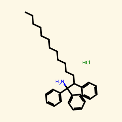 CCCCCCCCCCCCC(c1ccccc1)C(N)(c1ccccc1)c1ccccc1.Cl